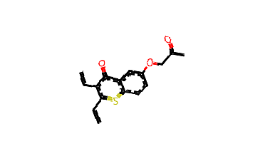 C=Cc1sc2ccc(OCC(C)=O)cc2c(=O)c1C=C